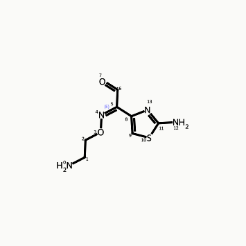 NCCO/N=C(/[C]=O)c1csc(N)n1